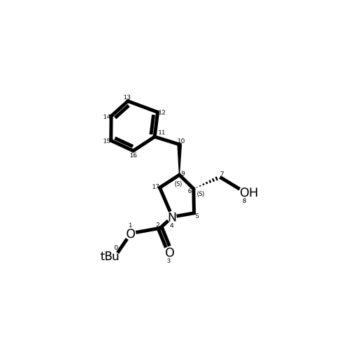 CC(C)(C)OC(=O)N1C[C@@H](CO)[C@H](Cc2ccccc2)C1